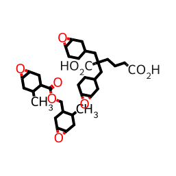 CC1CC2OC2CC1COC(=O)C1CC2OC2CC1C.O=C(O)CCCC(CC1CCC2OC2C1)(CC1CCC2OC2C1)C(=O)O